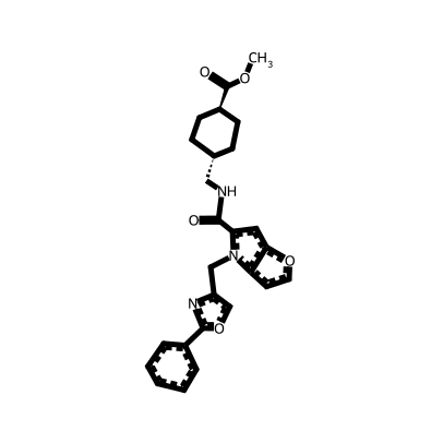 COC(=O)[C@H]1CC[C@H](CNC(=O)c2cc3occc3n2Cc2coc(-c3ccccc3)n2)CC1